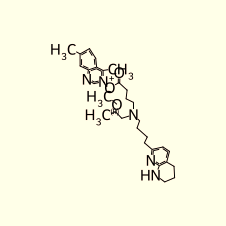 CO[C@H](C)CN(CCCCc1ccc2c(n1)NCCC2)CCCC(=O)O[n+]1cnc2cc(C)ccc2c1C